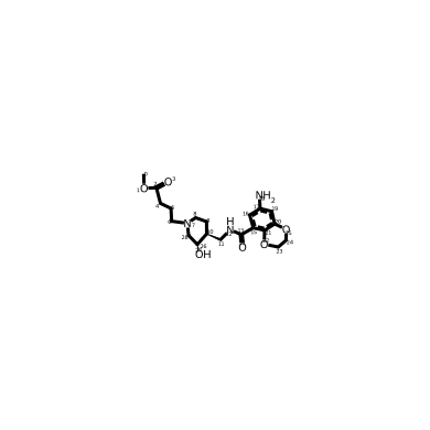 COC(=O)CCCN1CC[C@@H](CNC(=O)c2cc(N)cc3c2OCCO3)[C@H](O)C1